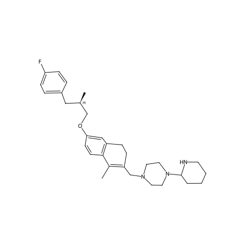 CC1=C(CN2CCN(C3CCCCN3)CC2)CCc2cc(OC[C@H](C)Cc3ccc(F)cc3)ccc21